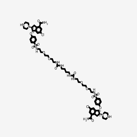 NC(=O)c1cc(Cl)cc2c1C[C@H](N1CCNCC1)[C@H]2Oc1ccc(S(=O)(=O)NCCOCCOCCNC(=O)NCCCCNC(=O)NCCOCCOCCNS(=O)(=O)c2ccc(O[C@H]3c4cc(Cl)cc(C(N)=O)c4C[C@@H]3N3CCNCC3)cc2)cc1